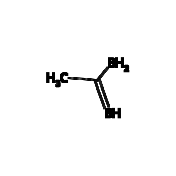 B=C(B)C